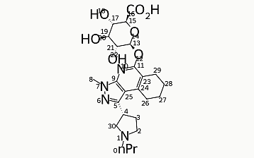 CCCN1CC[C@@H](c2nn(C)c3nc(O[C@@H]4O[C@H](C(=O)O)[C@@H](O)[C@H](O)[C@H]4O)c4c(c23)CCCC4)C1